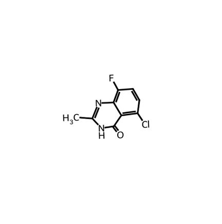 Cc1nc2c(F)ccc(Cl)c2c(=O)[nH]1